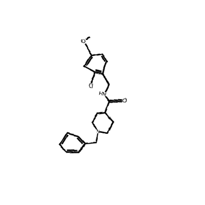 COc1ccc(CNC(=O)C2CCN(Cc3ccccc3)CC2)c(Cl)c1